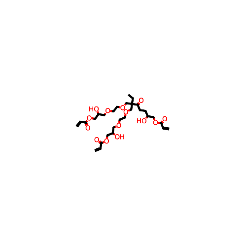 C=CC(=O)OCC(O)CCC(=O)C(CC)(COCCOCC(O)COC(=O)C=C)COCCOCC(O)COC(=O)C=C